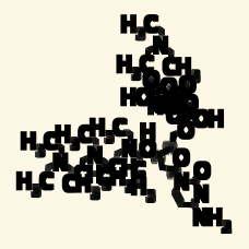 CCN(CC)CC.CCN(CC)CC.CCN(CC)CC.CCN(CC)CC.Nc1ccn([C@H]2C[C@H](O)[C@@H](COP(=O)(O)OP(=O)(O)OP(=O)(O)O)O2)c(=O)n1